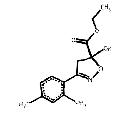 CCOC(=O)C1(O)CC(c2ccc(C)cc2C)=NO1